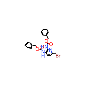 O=C(Nc1ccc(CBr)nc1NC(=O)OCc1ccccc1)OCc1ccccc1